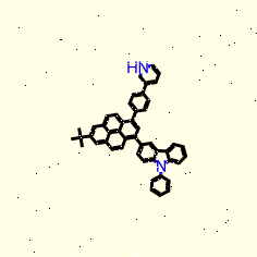 CC(C)(C)c1cc2ccc3c(-c4ccc(C5=CC=CNC5)cc4)cc(-c4ccc5c(c4)c4ccccc4n5-c4ccccc4)c4ccc(c1)c2c34